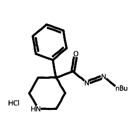 CCCCN=NC(=O)C1(c2ccccc2)CCNCC1.Cl